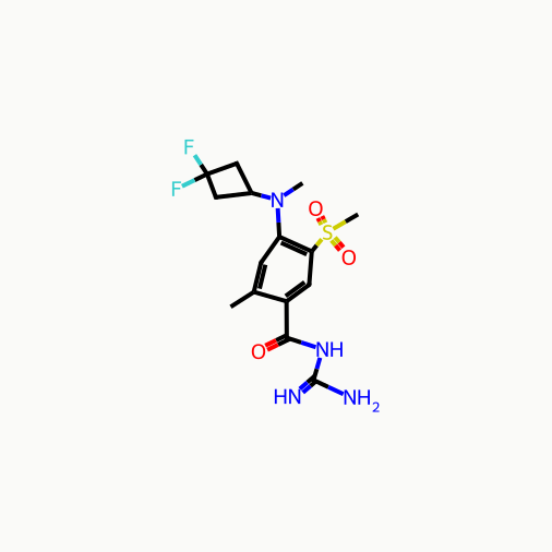 Cc1cc(N(C)C2CC(F)(F)C2)c(S(C)(=O)=O)cc1C(=O)NC(=N)N